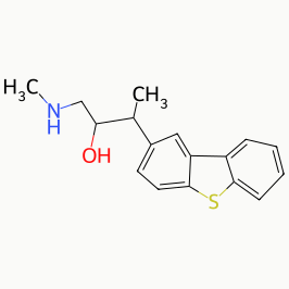 CNCC(O)C(C)c1ccc2sc3ccccc3c2c1